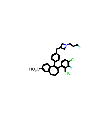 Cc1c(C2=C(c3ccc(CC4CN(CCCF)C4)cc3)c3ccc(C(=O)O)cc3CCC2)ccc(Cl)c1F.Cl